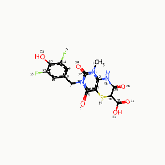 Cn1c2c(c(=O)n(Cc3cc(F)c(O)c(F)c3)c1=O)SC(C(=O)O)C(=O)N2